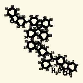 CC1(C)c2ccccc2-c2ccc(/C(=C/c3ccc4c5ccccc5n(-c5cccc6c5-c5ccccc5C6(c5ccccc5)c5cccc(-c6ccc7oc8ccccc8c7c6)c5)c4c3)c3ccccc3)cc21